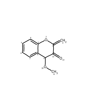 C=C1Oc2ccccc2C(OC)C1=O